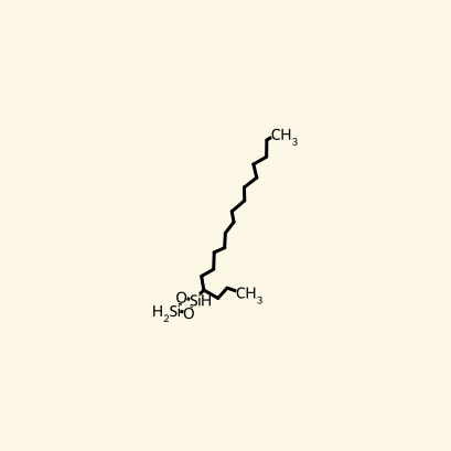 CCCCCCCCCCCCCCC(CCC)[SiH]1O[SiH2]O1